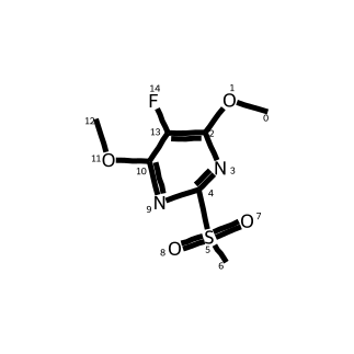 COc1nc(S(C)(=O)=O)nc(OC)c1F